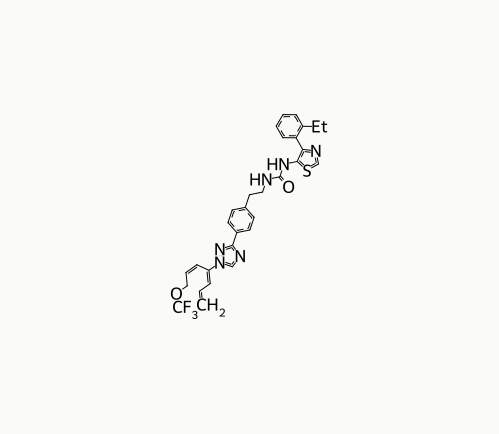 C=C/C=C(\C=C/COC(F)(F)F)n1cnc(-c2ccc(CCNC(=O)Nc3scnc3-c3ccccc3CC)cc2)n1